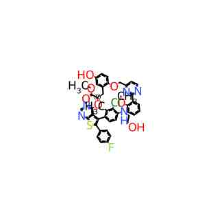 COC(=O)[C@@H](Cc1cc(O)ccc1OCc1ccnc(-c2ccccc2OC)n1)Oc1ncnc2sc(-c3ccc(F)cc3)c(-c3ccc(NCCO)c(Cl)c3C)c12